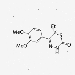 CC[C@@H]1SC(=O)NN=C1c1ccc(OC)c(OC)c1